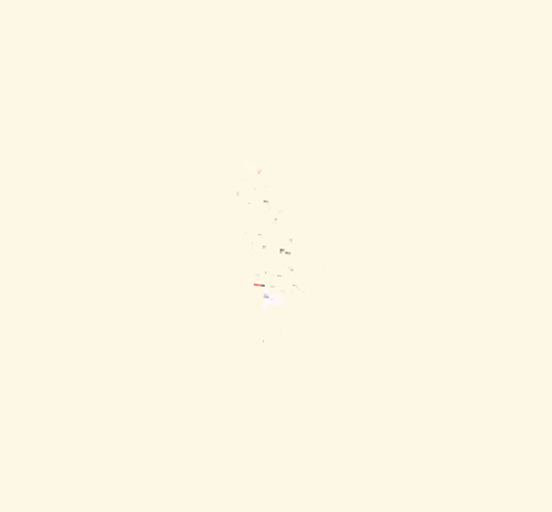 CC(C)C1=C2[C@H]3CCC4[C@@]5(C)CC[C@H](O)C(C)(C)C5CC[C@@]4(C)[C@]3(C)CC[C@@]2(C(=O)NCC2CC2)CC1=O